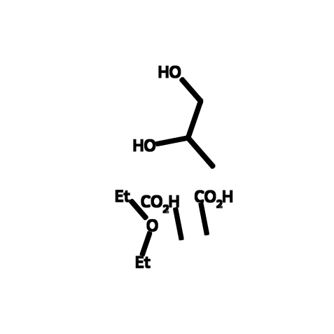 CC(=O)O.CC(=O)O.CC(O)CO.CCOCC